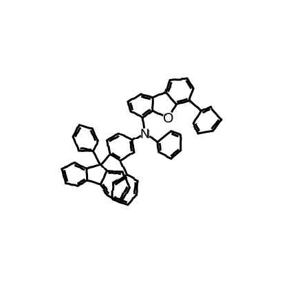 c1ccc(-c2cc(N(c3ccccc3)c3cccc4c3oc3c(-c5ccccc5)cccc34)ccc2C2(c3ccccc3)c3ccccc3-c3ccccc32)cc1